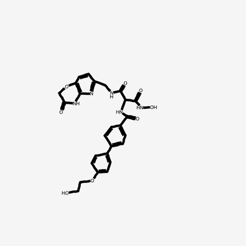 O=C1COc2ccc(CNC(=O)C(NC(=O)c3ccc(-c4ccc(OCCO)cc4)cc3)C(=O)NO)nc2N1